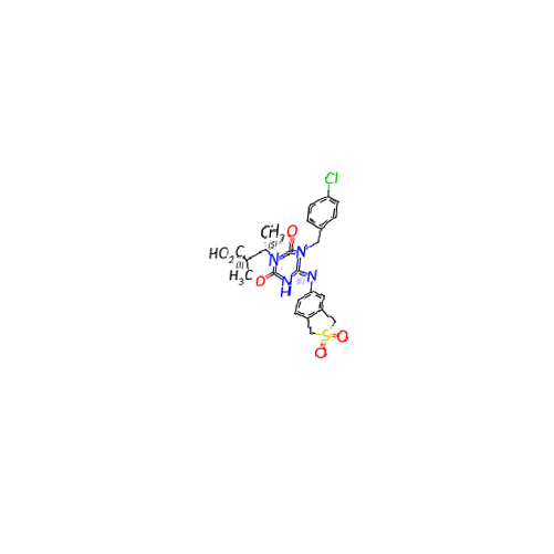 C[C@@H](C(=O)O)[C@H](C)n1c(=O)[nH]/c(=N\c2ccc3c(c2)CS(=O)(=O)C3)n(Cc2ccc(Cl)cc2)c1=O